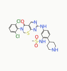 CS(=O)(=O)Nc1cc(Nc2ncc3c(n2)SCN(c2c(Cl)cccc2Cl)C3=O)ccc1C1CCNCC1